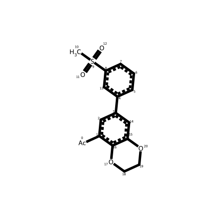 CC(=O)c1cc(-c2cccc(S(C)(=O)=O)c2)cc2c1OCCO2